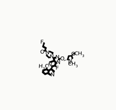 CO[C@@H]1C[C@@H](COc2nc(N3CCN(C(=O)/C=C/CF)CC3)c3cnc(-c4cncc5cccc(C)c45)c(F)c3n2)N(C)C1